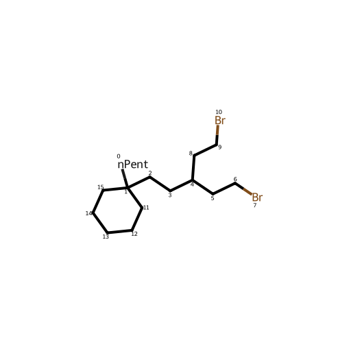 CCCCCC1(CCC(CCBr)CCBr)CCCCC1